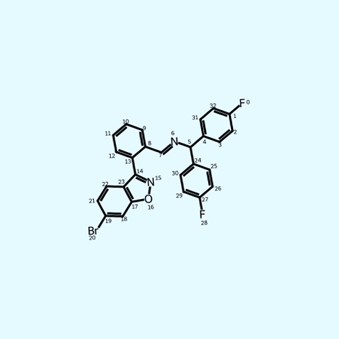 Fc1ccc(C(N=Cc2ccccc2-c2noc3cc(Br)ccc23)c2ccc(F)cc2)cc1